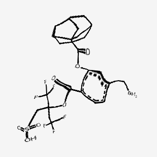 BCc1ccc(C(=O)OC(CS(=O)(=O)O)(C(F)(F)F)C(F)(F)F)c(OC(=O)C23CC4CC(CC(C4)C2)C3)c1